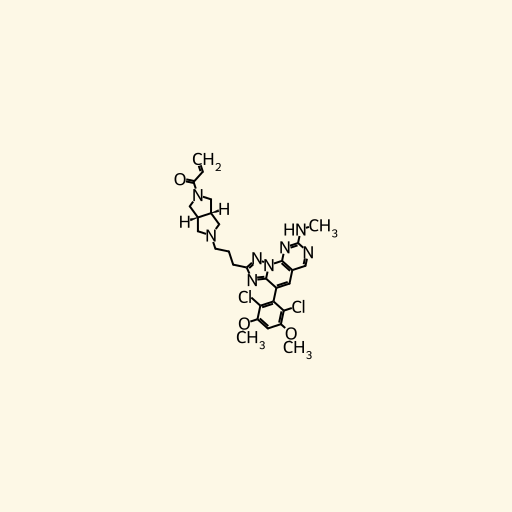 C=CC(=O)N1C[C@H]2CN(CCCc3nc4c(-c5c(Cl)c(OC)cc(OC)c5Cl)cc5cnc(NC)nc5n4n3)C[C@H]2C1